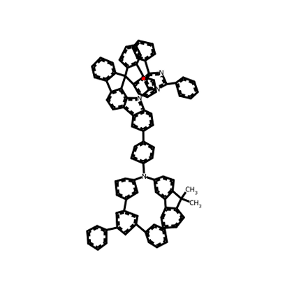 CC1(C)c2ccccc2-c2cc(N(c3ccc(-c4ccc5c(c4)c4ccc6c(c4n5-c4nc(-c5ccccc5)nc(-c5ccccc5)n4)C4(c5ccccc5-c5ccccc54)c4ccccc4-6)cc3)c3cccc(-c4cc(-c5ccccc5)cc(-c5ccccc5)c4)c3)ccc21